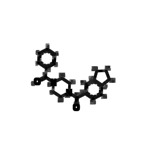 O=C(c1ccccc1)N1CCN(C(=O)c2ccc3c(c2)CCC3)CC1